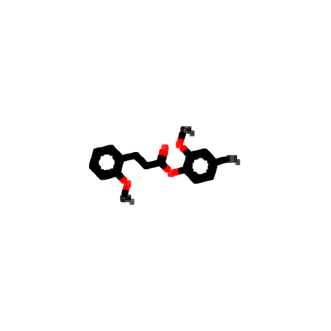 COc1ccccc1CCC(=O)Oc1ccc(C)cc1OC